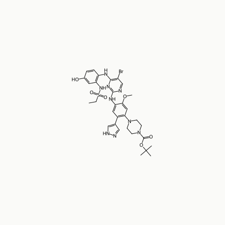 CCS(=O)(=O)Nc1cc(O)ccc1Nc1nc(Nc2cc(-c3cn[nH]c3)c(N3CCN(C(=O)OC(C)(C)C)CC3)cc2OC)ncc1Br